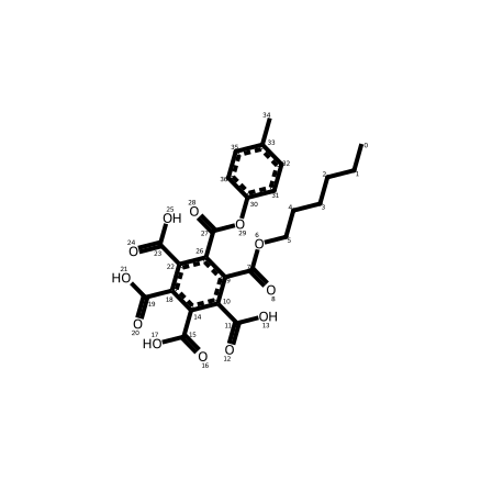 CCCCCCOC(=O)c1c(C(=O)O)c(C(=O)O)c(C(=O)O)c(C(=O)O)c1C(=O)Oc1ccc(C)cc1